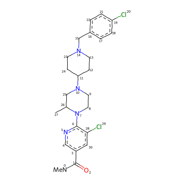 CNC(=O)c1cnc(N2CCN(C3CCN(Cc4ccc(Cl)cc4)CC3)CC2C)c(Cl)c1